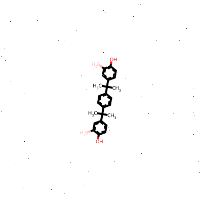 Bc1cc(C(C)(C)c2ccc(C(C)(C)c3ccc(O)c(B)c3)cc2)ccc1O